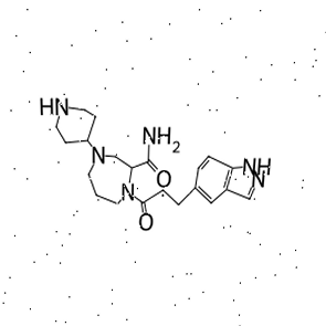 NC(=O)C1CN(C2CCNCC2)CCCN1C(=O)[CH]Cc1ccc2[nH]ncc2c1